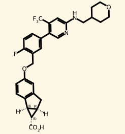 O=C(O)[C@H]1[C@@H]2Cc3cc(OCc4cc(-c5cnc(NCC6CCOCC6)cc5C(F)(F)F)ccc4F)ccc3[C@@H]21